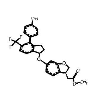 COC(=O)C[C@@H]1COc2cc(OC3CCc4c3ccc(C(F)(F)F)c4-c3ccc(O)cc3)ccc21